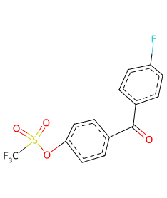 O=C(c1ccc(F)cc1)c1ccc(OS(=O)(=O)C(F)(F)F)cc1